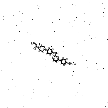 CCNC(=O)N1CCN(c2ccc(Nc3nccc(-c4ccc(NC(C)=O)cc4)n3)cc2)CC1